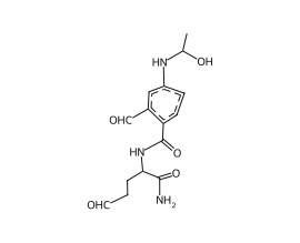 CC(O)Nc1ccc(C(=O)NC(CCC=O)C(N)=O)c(C=O)c1